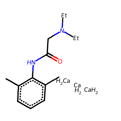 CCN(CC)CC(=O)Nc1c(C)cccc1C.[CaH2].[CaH2].[CaH2]